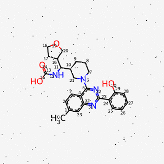 Cc1ccc2c(N3CCC[C@H]([C@@H](NC(=O)O)C4CCOC4)C3)nc(-c3ccccc3O)nc2c1